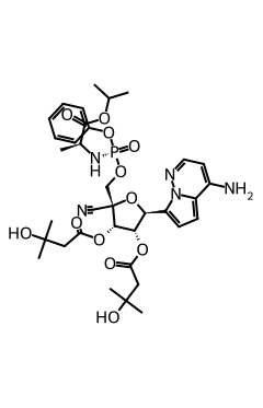 CC(C)OC(=O)[C@H](C)N[P@](=O)(OC[C@@]1(C#N)O[C@@H](c2ccc3c(N)ccnn23)[C@H](OC(=O)CC(C)(C)O)[C@@H]1OC(=O)CC(C)(C)O)Oc1ccccc1